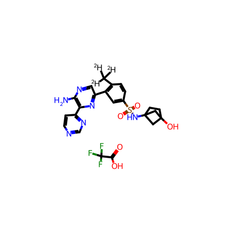 O=C(O)C(F)(F)F.[2H]C([2H])([2H])c1ccc(S(=O)(=O)NC23CCC(O)(C2)C3)cc1-c1cnc(N)c(-c2ccncn2)n1